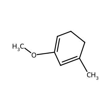 COC1=CCCC(C)=C1